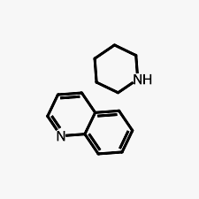 C1CCNCC1.c1ccc2ncccc2c1